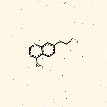 CCSc1ccc2c(N)ncnc2c1